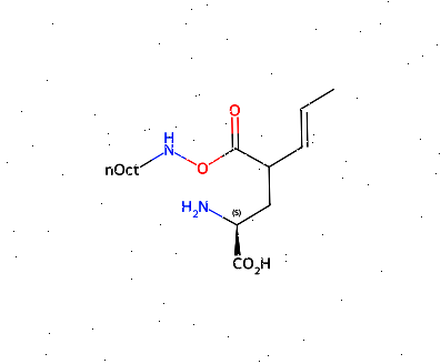 CC=CC(C[C@H](N)C(=O)O)C(=O)ONCCCCCCCC